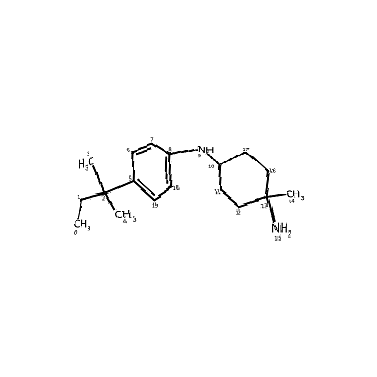 CCC(C)(C)c1ccc(NC2CCC(C)(N)CC2)cc1